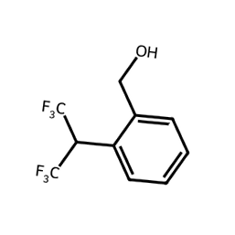 OCc1ccccc1C(C(F)(F)F)C(F)(F)F